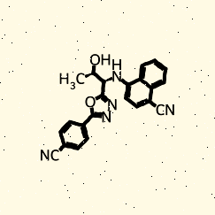 C[C@@H](O)[C@@H](Nc1ccc(C#N)c2ccccc12)c1nnc(-c2ccc(C#N)cc2)o1